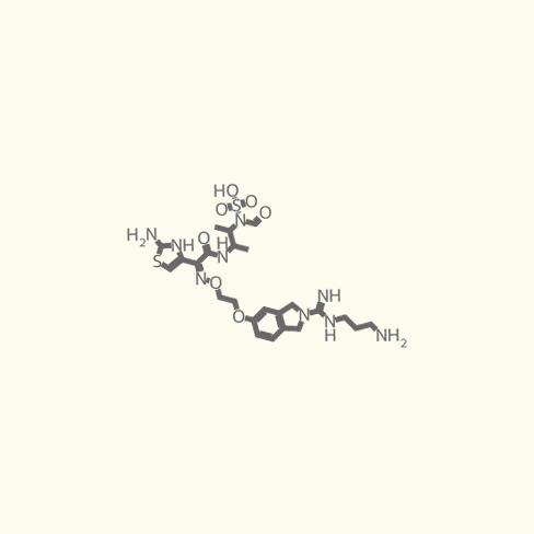 CC(NC(=O)/C(=N\OCCOc1ccc2c(c1)CN(C(=N)NCCCN)C2)C1=CSC(N)N1)C(C)N(C=O)S(=O)(=O)O